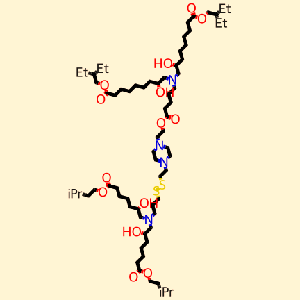 CCC(CC)COC(=O)CCCCCCC(O)CN(CCCCC(=O)OCCN1CCN(CCSSCCCN(CC(O)CCCCC(=O)OCCC(C)C)CC(O)CCCCC(=O)OCCC(C)C)CC1)CC(O)CCCCCCC(=O)OCC(CC)CC